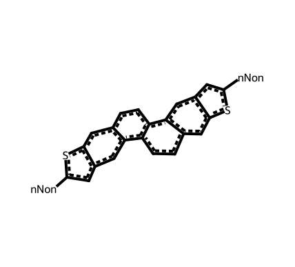 CCCCCCCCCc1cc2cc3c(ccc4c5cc6cc(CCCCCCCCC)sc6cc5ccc34)cc2s1